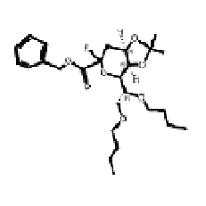 CCCCOC[C@@H](OCCCC)C1OC(F)(C(=O)OCc2ccccc2)C[C@H]2OC(C)(C)O[C@@H]12